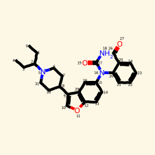 CCC(CC)N1CCC(c2coc3ccc(N(C(N)=O)c4ccccc4C=O)cc23)CC1